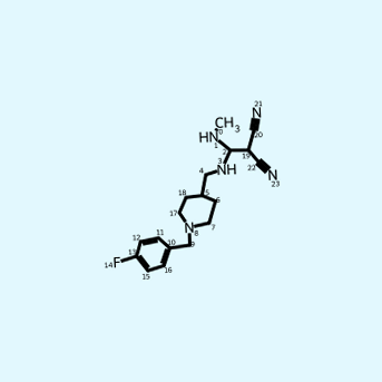 CNC(NCC1CCN(Cc2ccc(F)cc2)CC1)C(C#N)C#N